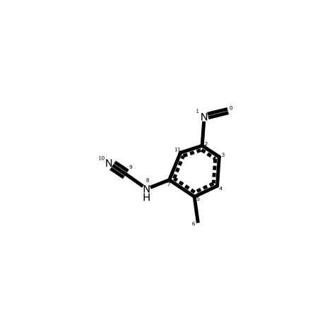 C=Nc1ccc(C)c(NC#N)c1